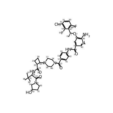 C[C@H](Oc1cc(C(=O)Nc2ccc(C(=O)N3CCN(C4CCC4C(=O)NC(C(=O)N4CCC(O)C4)C(C)(C)C)CC3)cc2)cnc1N)c1c(F)ccc(Cl)c1F